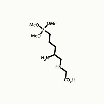 CO[Si](CCCC(N)CNCC(=O)O)(OC)OC